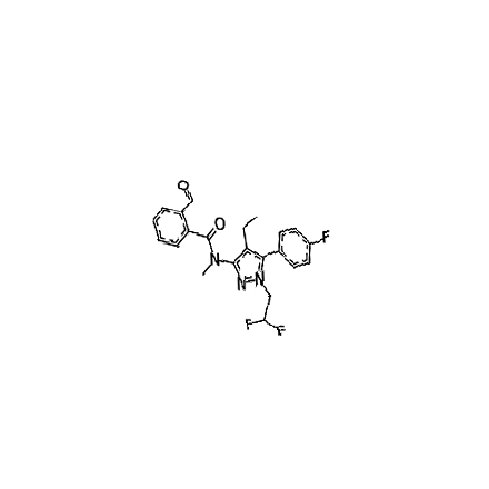 CCc1c(N(C)C(=O)c2ccccc2C=O)nn(CC(F)F)c1-c1ccc(F)cc1